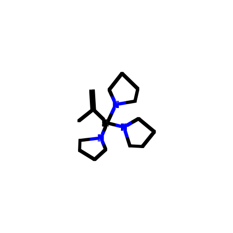 C=C(C)[Si](N1CCCC1)(N1CCCC1)N1CCCC1